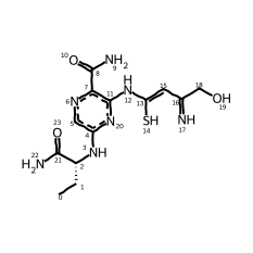 CC[C@@H](Nc1cnc(C(N)=O)c(N/C(S)=C/C(=N)CO)n1)C(N)=O